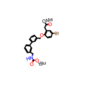 COC(=O)Cc1cc(Br)ccc1OCc1cccc(-c2cccc(CNC(=O)OC(C)(C)C)c2)c1